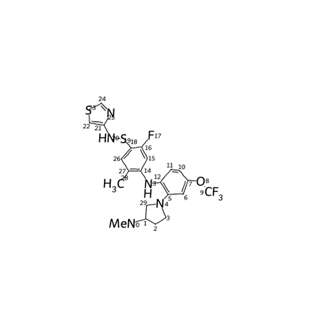 CNC1CCN(c2cc(OC(F)(F)F)ccc2Nc2cc(F)c(SNc3cscn3)cc2C)C1